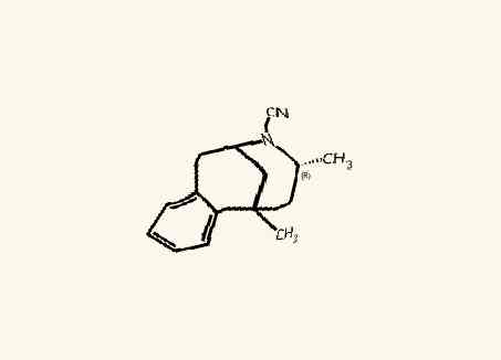 C[C@@H]1CC2(C)CC(Cc3ccccc32)N1C#N